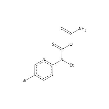 CCN(C(=S)OC(N)=O)c1ccc(Br)cn1